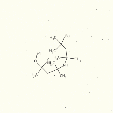 CCC(C)C(C)(C)CC(C)(C)NC(C)(C)CC(C)(C)OC(C)C